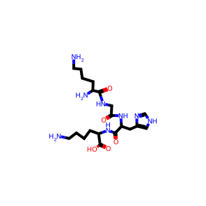 NCCCCC(N)C(=O)NCC(=O)NC(Cc1c[nH]cn1)C(=O)NC(CCCCN)C(=O)O